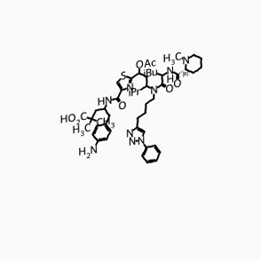 CCC(C)C(NC(=O)[C@H]1CCCCN1C)C(=O)N(CCCCc1cn(-c2ccccc2)nn1)C(CC(OC(C)=O)c1nc(C(=O)NC(Cc2ccc(N)cc2)CC(C)(C)C(=O)O)cs1)C(C)C